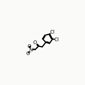 O=C(Cc1ccc(Cl)c(Cl)c1)C[N+](=O)[O-]